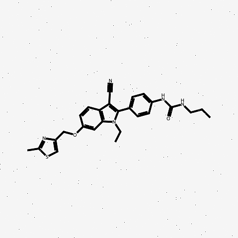 CCCNC(=O)Nc1ccc(-c2c(C#N)c3ccc(OCc4csc(C)n4)cc3n2CC)cc1